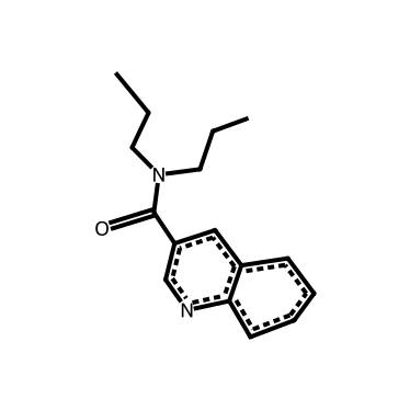 CCCN(CCC)C(=O)c1cnc2ccccc2c1